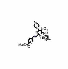 COC(=O)c1ccc(/C=C/c2nc(Nc3cc(C)n[nH]3)c([N+](=O)[O-])c(N3CCN(C)CC3)n2)cc1